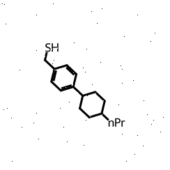 CCCC1CCC(c2ccc(CS)cc2)CC1